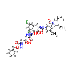 CCCN(CCC)C(=O)c1cc(C)cc(C(=O)N[C@@H](Cc2cc(F)cc(F)c2)[C@H](O)CCNC(=O)CC(O)CNC(=O)OCc2ccccc2)c1